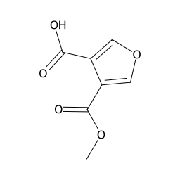 COC(=O)c1cocc1C(=O)O